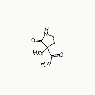 NC(=O)C1(O)CCNC1=O